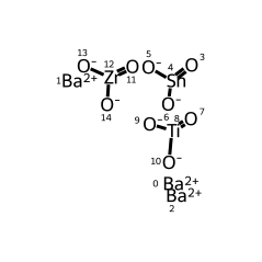 [Ba+2].[Ba+2].[Ba+2].[O]=[Sn]([O-])[O-].[O]=[Ti]([O-])[O-].[O]=[Zr]([O-])[O-]